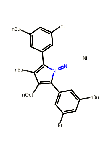 CCCCCCCCC1=C(c2cc(CC)cc(CCCC)c2)[N+](=[N-])C(c2cc(CC)cc(CCCC)c2)=C1CCCC.[Ni]